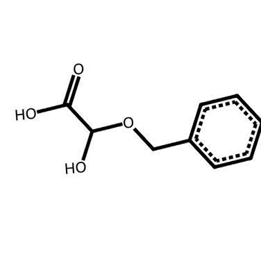 O=C(O)C(O)OCc1ccccc1